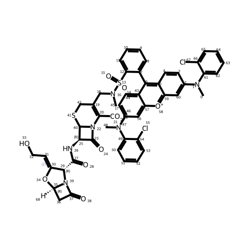 CN(c1ccc2c(-c3ccccc3S(=O)(=O)N(C)CC3=C(C(=O)O)N4C(=O)[C@@H](NC(=O)[C@H]5/C(=C/CO)O[C@@H]6CC(=O)N65)C4SC3)c3ccc(N(C)c4ccccc4Cl)cc3[o+]c2c1)c1ccccc1Cl